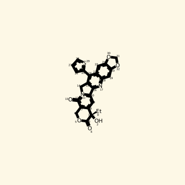 CC[C@@]1(O)C(=O)OCc2c1cc1n(c2=O)Cc2c-1nc1cc3c(cc1c2-c1cccs1)OCO3